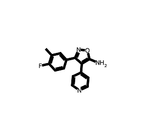 Cc1cc(-c2noc(N)c2-c2ccncc2)ccc1F